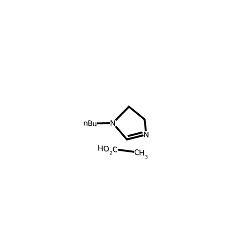 CC(=O)O.CCCCN1C=NCC1